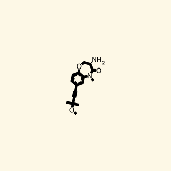 COC(C)(C)C#Cc1ccc2c(c1)N(C)C(=O)[C@@H](N)CO2